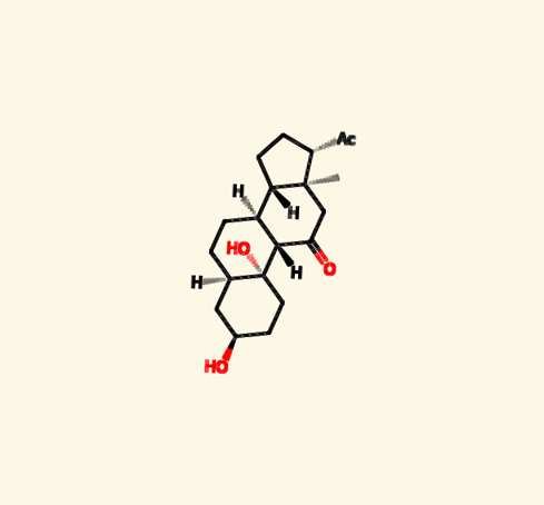 CC(=O)[C@H]1CC[C@H]2[C@@H]3CC[C@@H]4C[C@H](O)CC[C@]4(O)[C@H]3C(=O)C[C@]12C